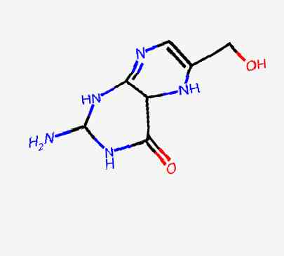 NC1NC(=O)C2NC(CO)=CN=C2N1